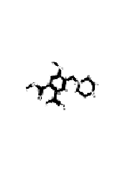 COC(=O)c1cc(OC)c(CN2CCOCC2)cc1C(C)=O